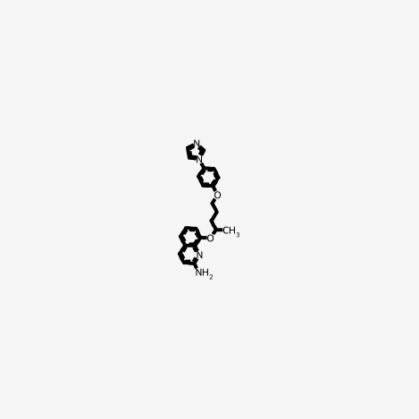 CC(CCCOc1ccc(-n2ccnc2)cc1)Oc1cccc2ccc(N)nc12